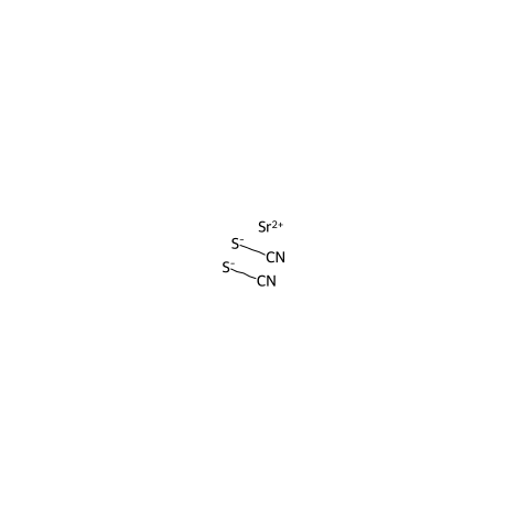 N#C[S-].N#C[S-].[Sr+2]